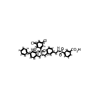 O=C(O)c1cccc(S(=O)(=O)NCc2cccc(CN(Cc3ccc(-c4ccccc4)cc3)S(=O)(=O)c3cc(Cl)cc(Cl)c3O)c2)c1